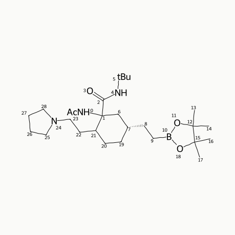 CC(=O)NC1(C(=O)NC(C)(C)C)C[C@H](CCB2OC(C)(C)C(C)(C)O2)CCC1CCN1CCCC1